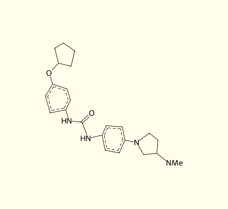 CNC1CCN(c2ccc(NC(=O)Nc3ccc(OC4CCCC4)cc3)cc2)C1